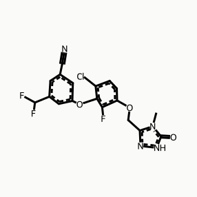 Cn1c(COc2ccc(Cl)c(Oc3cc(C#N)cc(C(F)F)c3)c2F)n[nH]c1=O